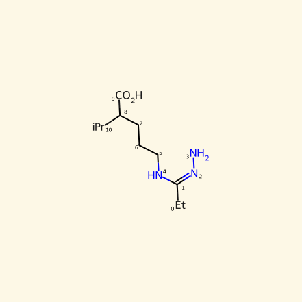 CCC(=NN)NCCCC(C(=O)O)C(C)C